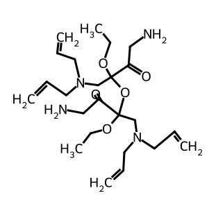 C=CCN(CC=C)CC(OCC)(OC(CN(CC=C)CC=C)(OCC)C(=O)CN)C(=O)CN